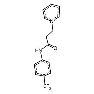 O=C(CC[n+]1ccccc1)Nc1ccc(C(F)(F)F)cc1